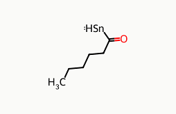 CCCCC[C](=O)[SnH]